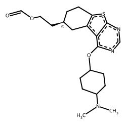 CN(C)C1CCC(Oc2ncnc3sc4c(c23)C[C@@H](CCOC=O)CC4)CC1